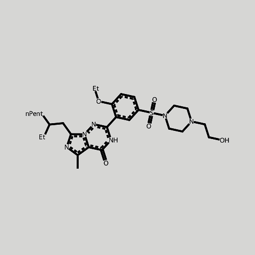 CCCCCC(CC)Cc1nc(C)c2c(=O)[nH]c(-c3cc(S(=O)(=O)N4CCN(CCO)CC4)ccc3OCC)nn12